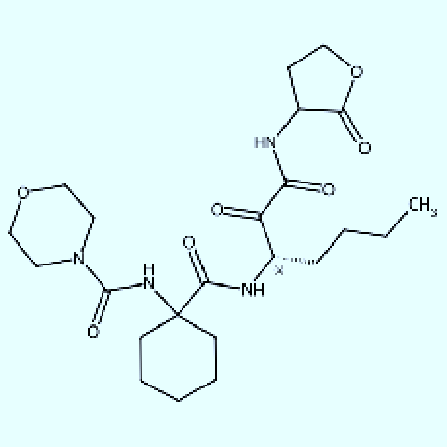 CCCC[C@H](NC(=O)C1(NC(=O)N2CCOCC2)CCCCC1)C(=O)C(=O)NC1CCOC1=O